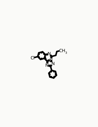 CCCc1nc2ccc(Cl)cc2c2nc(-c3ccccc3)nn12